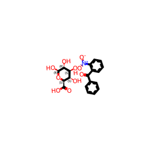 O=C(O)[C@H]1O[C@@H](O)[C@H](O)[C@@H](O)[C@@H]1O.O=C(c1ccccc1)c1ccccc1[N+](=O)[O-]